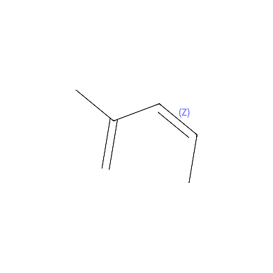 C=C(C)/C=C\C